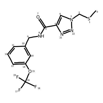 CSCn1cc(C(=O)NCc2cccc(OC(F)(F)F)c2)nn1